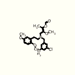 CO/C(CN(CCc1cc(OC)ccc1OC)Cc1cc(C)cc(Cl)c1)=C(/C)OC=O